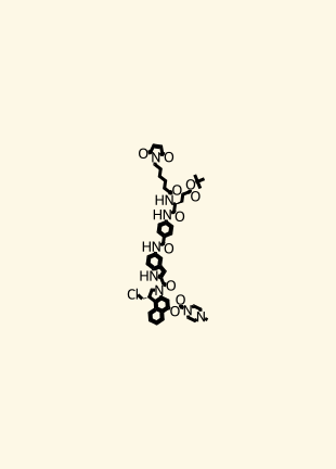 CN1CCN(C(=O)Oc2cc3c(c4ccccc24)[C@H](CCl)CN3C(=O)c2cc3cc(NC(=O)c4ccc(NC(=O)[C@H](CCC(=O)OC(C)(C)C)NC(=O)CCCCCN5C(=O)C=CC5=O)cc4)ccc3[nH]2)CC1